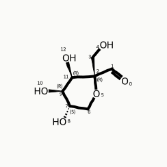 O=C[C@]1(CO)OC[C@H](O)[C@@H](O)[C@H]1O